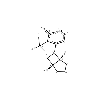 O=c1[nH]ncc(N2C[C@H]3CCC[C@H]32)c1C(F)(F)F